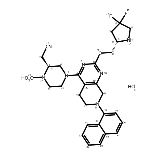 Cl.N#CC[C@H]1CN(c2nc(OC[C@@H]3CC(F)(F)CN3)nc3c2CCN(c2cccc4ccccc24)C3)CCN1C(=O)O